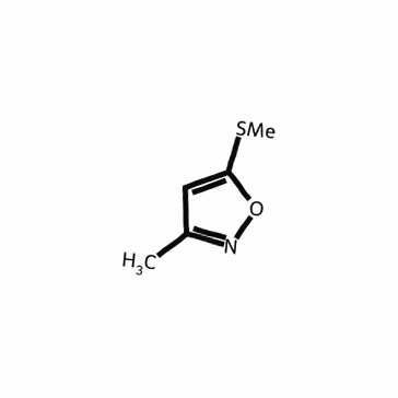 CSc1cc(C)no1